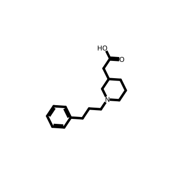 O=C(O)CC1CCCN(CCCc2ccccc2)C1